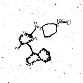 ClN[C@H]1CCC[C@@H](Nc2ncc(Cl)c(-c3c[nH]c4ccccc34)n2)C1